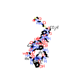 CC[C@H](C)[C@H](NC(=O)[C@H](CO)NC(=O)[C@H](Cc1ccc(O)cc1)NC(=O)[C@H](CC(=O)O)NC(=O)[C@H](CO)NC(=O)[C@@H](NC(=O)[C@H](Cc1ccccc1)NC(=O)[C@@H](NC(=O)CNC(=O)[C@H](CCC(=O)O)NC(=O)CSCC(=O)NCCN1C(=O)CSC1=O)[C@@H](C)O)[C@@H](C)O)C(=O)N[C@@H](Cc1ccc(O)cc1)C(=O)N[C@@H](CCC(C)C)C(=O)N[C@@H](CC(=O)O)C(=O)N[C@H](C)CCCCN